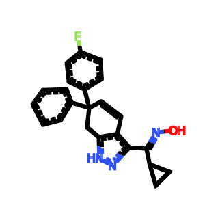 ON=C(c1n[nH]c2c1C=CC(c1ccccc1)(c1ccc(F)cc1)C2)C1CC1